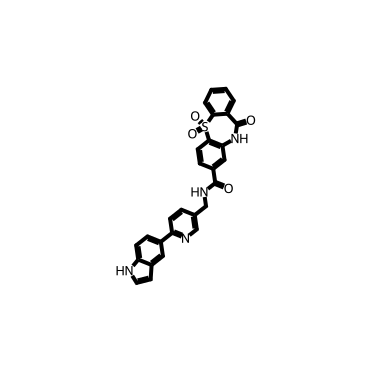 O=C(NCc1ccc(-c2ccc3[nH]ccc3c2)nc1)c1ccc2c(c1)NC(=O)c1ccccc1S2(=O)=O